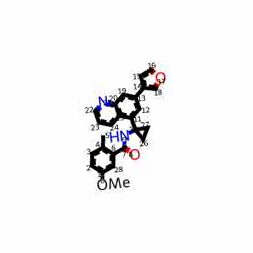 COc1ccc(C)c(C(=O)NC2(c3cc(-c4ccoc4)cc4ncccc34)CC2)c1